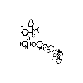 CC(C)N(C(=O)c1cc(F)ccc1Oc1cncnc1N1CC2(CCN(C[C@@]3(O)CC[C@@H](NS(=O)(=O)N4CCC[C@H]4C)CO3)CC2)C1)C1CCOC1